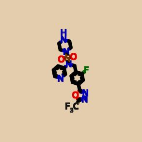 O=S(=O)(N1CCNCC1)N(Cc1ccc(-c2nnc(C(F)(F)F)o2)cc1F)c1cccnc1